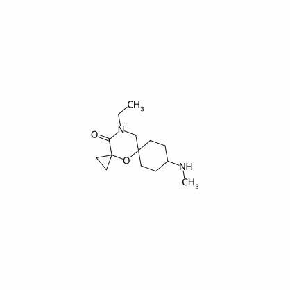 CCN1CC2(CCC(NC)CC2)OC2(CC2)C1=O